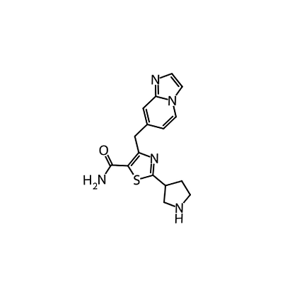 NC(=O)c1sc(C2CCNC2)nc1Cc1ccn2ccnc2c1